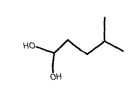 C[C](C)CCC(O)O